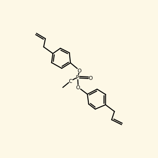 C=CCc1ccc(OP(=O)(CC)Oc2ccc(CC=C)cc2)cc1